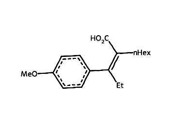 CCCCCCC(C(=O)O)=C(CC)c1ccc(OC)cc1